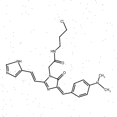 CN(C)c1ccc(/C=C2N=C(/C=C/c3cnc[nH]3)N(CC(=O)NCCCCl)C/2=O)cc1